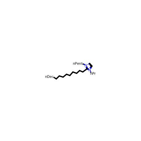 CCCCCCCCCCCCCCCCCCCc1n(CCC)cc[n+]1CCCCC